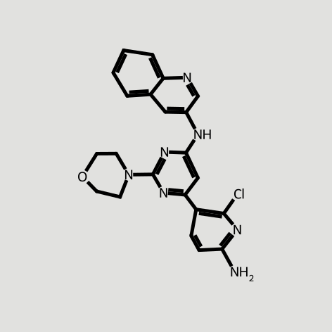 Nc1ccc(-c2cc(Nc3cnc4ccccc4c3)nc(N3CCOCC3)n2)c(Cl)n1